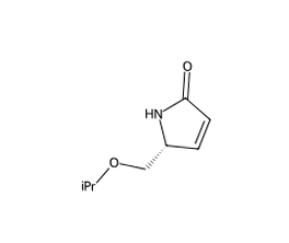 CC(C)OC[C@H]1C=CC(=O)N1